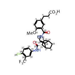 COc1ccc(CCC(=O)O)cc1C(=O)N[C@@H]1C2CCC(/C2=C/C(F)(F)F)[C@@H]1C(=O)Nc1ccc(F)c(C(F)(F)F)c1